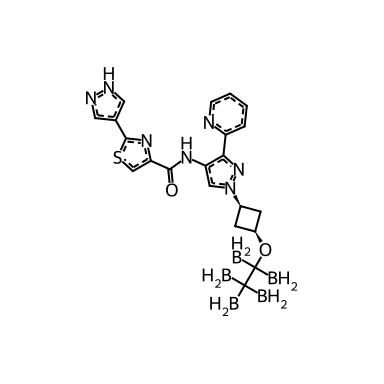 BC(B)(B)C(B)(B)O[C@H]1C[C@@H](n2cc(NC(=O)c3csc(-c4cn[nH]c4)n3)c(-c3ccccn3)n2)C1